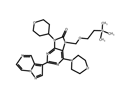 C[Si](C)(C)CCOCn1c(=O)n(C2CCOCC2)c2nc(-c3cnn4ccncc34)nc(N3CCOCC3)c21